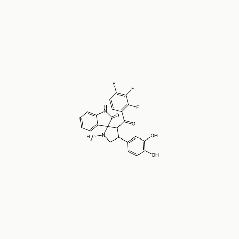 CN1CC(c2ccc(O)c(O)c2)C(C(=O)c2ccc(F)c(F)c2F)C12C(=O)Nc1ccccc12